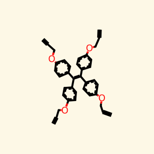 C#CCOc1ccc(C(=C(c2ccc(OCC#C)cc2)c2ccc(OCC#C)cc2)c2ccc(OCC#C)cc2)cc1